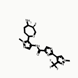 Cn1cc(-c2nc(C(=O)Nc3cnn(C)c3C3CCC(N)[C@@H](F)CO3)cs2)c(C(F)(F)F)n1